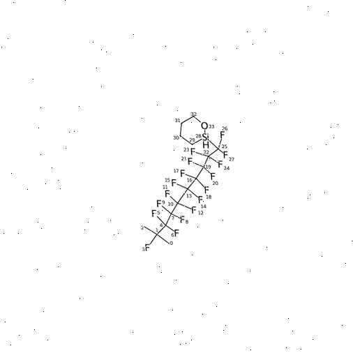 CC(C)(F)C(F)(F)C(F)(F)C(F)(F)C(F)(F)C(F)(F)C(F)(F)C(F)(F)C(F)(F)[SiH]1CCCCO1